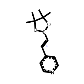 CC1(C)OB(/C=C/c2ccncc2)OC1(C)C